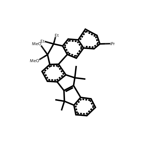 CCC1(CC)c2cc3ccc(C(C)C)cc3cc2-c2c(ccc3c2C(C)(C)C2=C3C(C)(C)c3ccccc32)C1(OC)OC